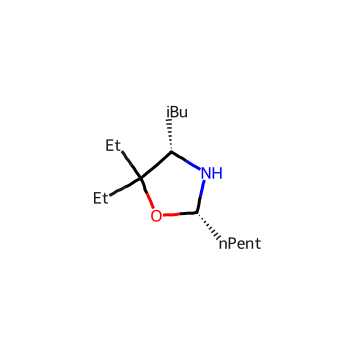 CCCCC[C@H]1N[C@@H](C(C)CC)C(CC)(CC)O1